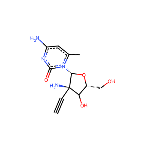 C#C[C@@]1(N)C(O)[C@@H](CO)O[C@H]1n1c(C)cc(N)nc1=O